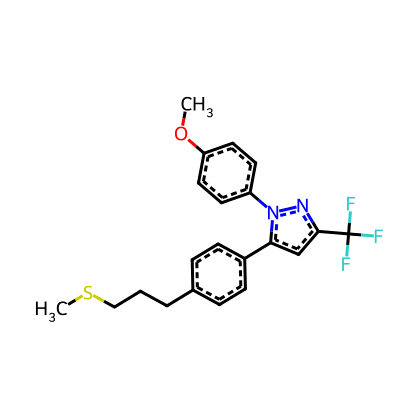 COc1ccc(-n2nc(C(F)(F)F)cc2-c2ccc(CCCSC)cc2)cc1